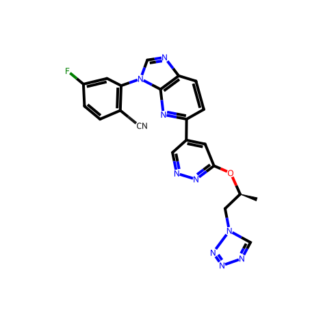 C[C@@H](Cn1cnnn1)Oc1cc(-c2ccc3ncn(-c4cc(F)ccc4C#N)c3n2)cnn1